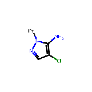 CC(C)n1ncc(Cl)c1N